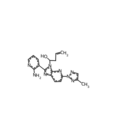 C=CCC(O)n1c(-c2cccnc2N)nc2ccc(-n3ncc(C)n3)nc21